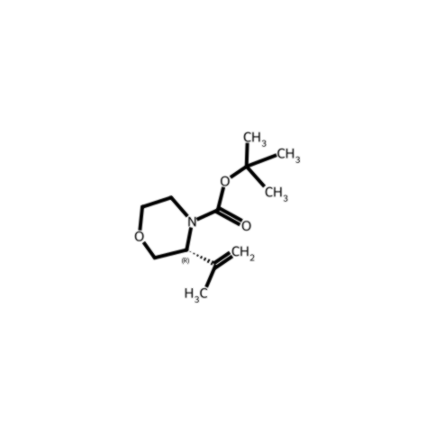 C=C(C)[C@@H]1COCCN1C(=O)OC(C)(C)C